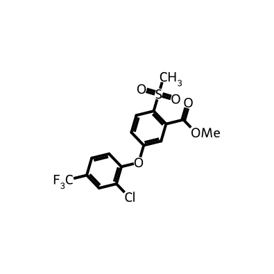 COC(=O)c1cc(Oc2ccc(C(F)(F)F)cc2Cl)ccc1S(C)(=O)=O